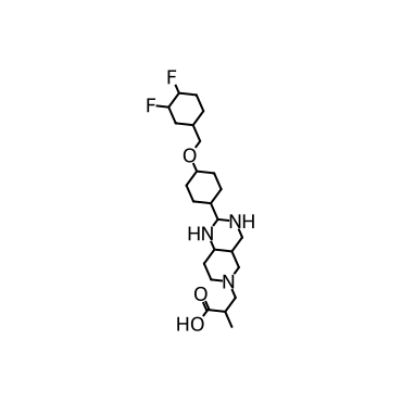 CC(CN1CCC2NC(C3CCC(OCC4CCC(F)C(F)C4)CC3)NCC2C1)C(=O)O